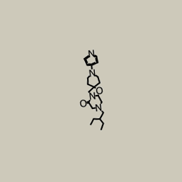 CCC(CC)CN1CC(=O)N2CC3(CCN(c4ccncc4)CC3)OC2C1